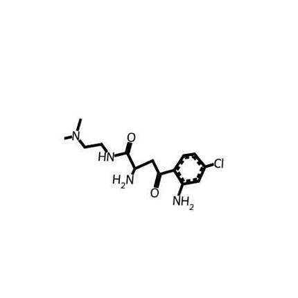 CN(C)CCNC(=O)C(N)CC(=O)c1ccc(Cl)cc1N